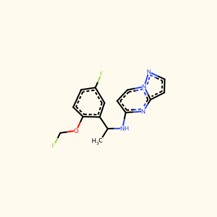 CC(Nc1ccn2nccc2n1)c1cc(F)ccc1OCF